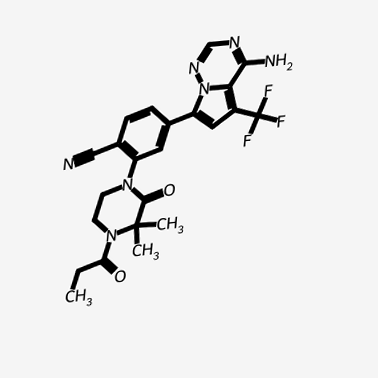 CCC(=O)N1CCN(c2cc(-c3cc(C(F)(F)F)c4c(N)ncnn34)ccc2C#N)C(=O)C1(C)C